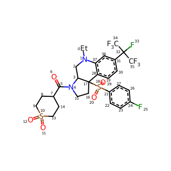 CCN1CC2N(C(=O)C3CCS(=O)(=O)CC3)CCC2(S(=O)(=O)c2ccc(F)cc2)c2ccc(C(F)(C(F)(F)F)C(F)(F)F)cc21